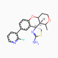 CC1OCCC2Oc3ccc(-c4cccnc4F)cc3[C@@]3(CSC(N)=N3)[C@@H]12